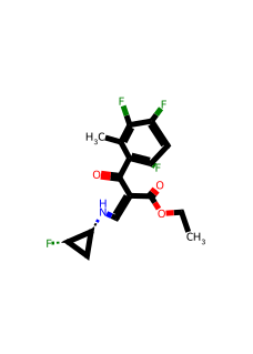 CCOC(=O)/C(=C/N[C@@H]1C[C@@H]1F)C(=O)c1c(F)cc(F)c(F)c1C